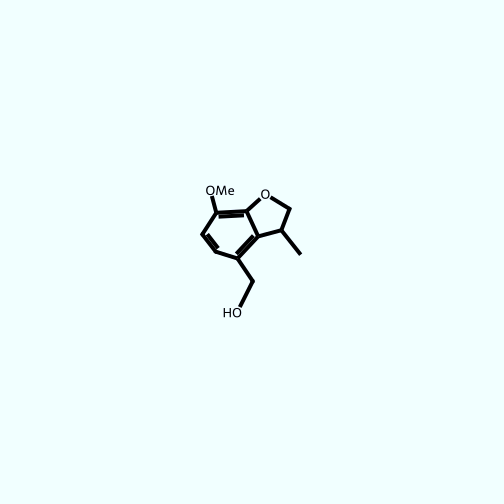 COc1ccc(CO)c2c1OCC2C